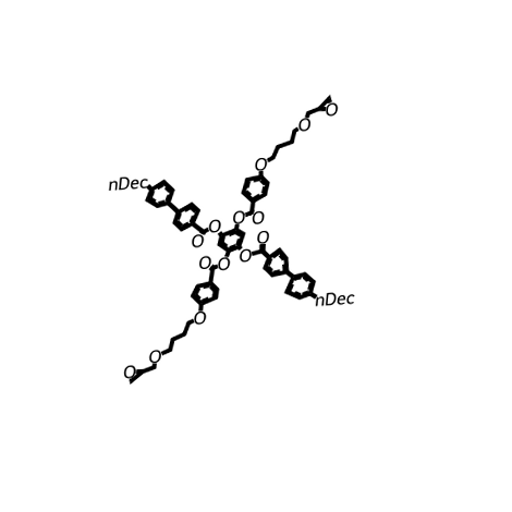 CCCCCCCCCCc1ccc(-c2ccc(C(=O)Oc3cc(OC(=O)c4ccc(OCCCCOCC5CO5)cc4)c(OC(=O)c4ccc(-c5ccc(CCCCCCCCCC)cc5)cc4)cc3OC(=O)c3ccc(OCCCCOCC4CO4)cc3)cc2)cc1